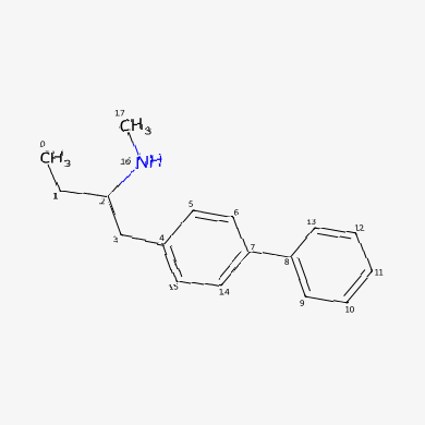 CCC(Cc1ccc(-c2ccccc2)cc1)NC